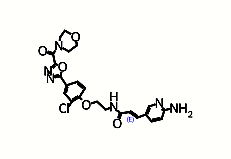 Nc1ccc(/C=C/C(=O)NCCOc2ccc(-c3nnc(C(=O)N4CCOCC4)o3)cc2Cl)cn1